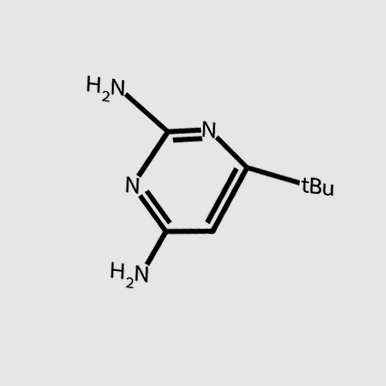 CC(C)(C)c1cc(N)nc(N)n1